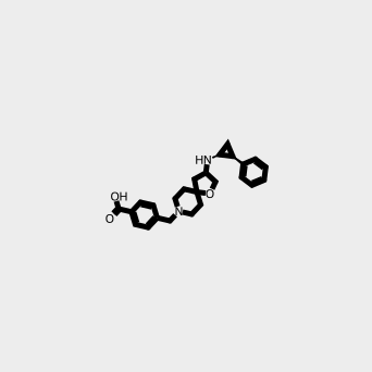 O=C(O)c1ccc(CN2CCC3(CC2)CC(N[C@@H]2C[C@H]2c2ccccc2)CO3)cc1